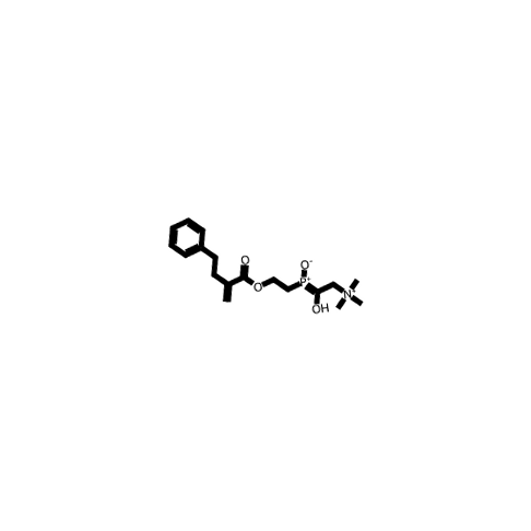 C=C(CCc1ccccc1)C(=O)OCC[P+]([O-])=C(O)C[N+](C)(C)C